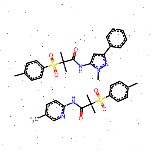 Cc1ccc(S(=O)(=O)C(C)(C)C(=O)Nc2cc(-c3ccccc3)nn2C)cc1.Cc1ccc(S(=O)(=O)C(C)(C)C(=O)Nc2ccc(C(F)(F)F)cn2)cc1